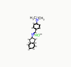 CN(C)c1ccc(C=NC2Cc3ccccc3C2)cc1.Cl